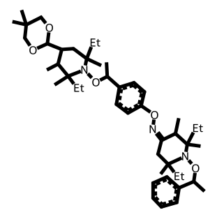 CCC1(C)C/C(=N/Oc2ccc(C(C)ON3C(C)(CC)CC(C4OCC(C)(C)CO4)C(C)C3(C)CC)cc2)C(C)C(C)(CC)N1OC(C)c1ccccc1